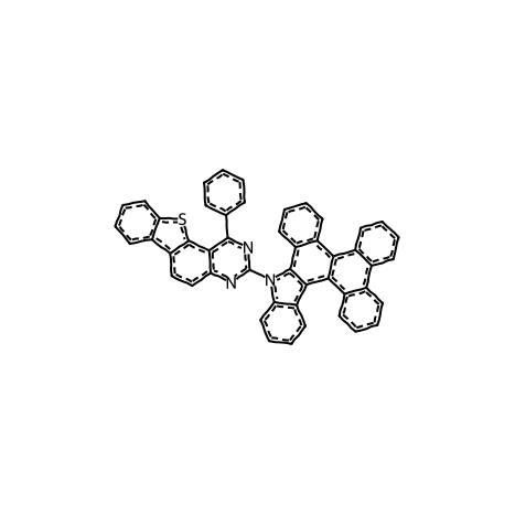 c1ccc(-c2nc(-n3c4ccccc4c4c5c6ccccc6c6ccccc6c5c5ccccc5c43)nc3ccc4c5ccccc5sc4c23)cc1